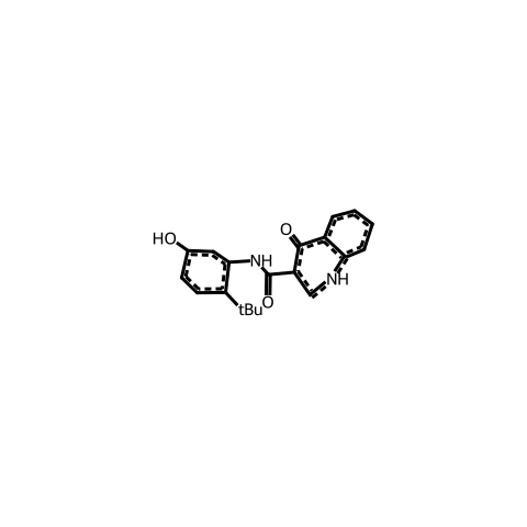 CC(C)(C)c1ccc(O)cc1NC(=O)c1c[nH]c2ccccc2c1=O